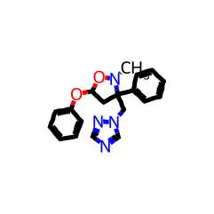 CN1OC(Oc2ccccc2)CC1(Cn1cncn1)c1ccccc1